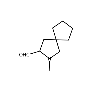 CN1CC2(CCCC2)CC1C=O